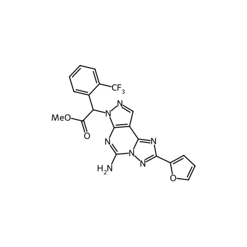 COC(=O)C(c1ccccc1C(F)(F)F)n1ncc2c1nc(N)n1nc(-c3ccco3)nc21